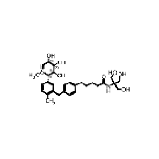 Cc1ccc([C@H]2[C@H](O)[C@H](O)[C@H](O)C[SH]2C)cc1Cc1ccc(CCCCC(=O)NC(CO)(CO)CO)cc1